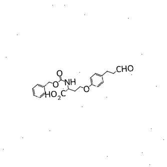 O=CCCc1ccc(OCCC(NC(=O)OCc2ccccc2)C(=O)O)cc1